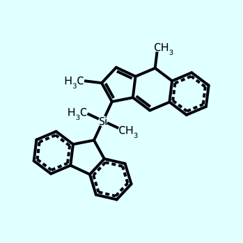 CC1=C([Si](C)(C)C2c3ccccc3-c3ccccc32)C2=Cc3ccccc3C(C)C2=C1